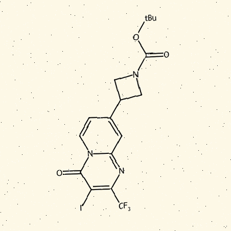 CC(C)(C)OC(=O)N1CC(c2ccn3c(=O)c(I)c(C(F)(F)F)nc3c2)C1